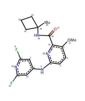 COc1ccc(Nc2cc(F)nc(F)c2)nc1C(=O)NC1(C(C)(C)C)CCC1